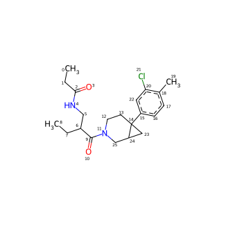 CCC(=O)NCC(CC)C(=O)N1CCC2(c3ccc(C)c(Cl)c3)CC2C1